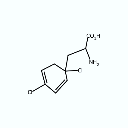 NC(CC1(Cl)C=CC(Cl)=CC1)C(=O)O